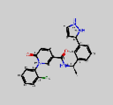 C[C@@H](NC(=O)c1ccc(=O)n(-c2ccccc2F)c1)c1cccc(C2C=CNN2)c1